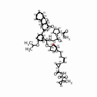 CC(C)Oc1ccc(-c2nc(O[C@@H]3C[C@@H](C(N)=O)N(C(=O)[C@H](CCCCC/C=C\[C@@H]4C[C@@H]4C(=O)NS(=O)(=O)C4(C)CC4)NC(=O)OC4CCCC4)C3)c3oc4ccccc4c3n2)cc1